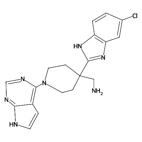 NCC1(c2nc3cc(Cl)ccc3[nH]2)CCN(c2ncnc3[nH]ccc23)CC1